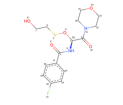 O=C(N[C@@H](OSCCO)C(=O)N1CCOCC1)c1ccc(F)cc1